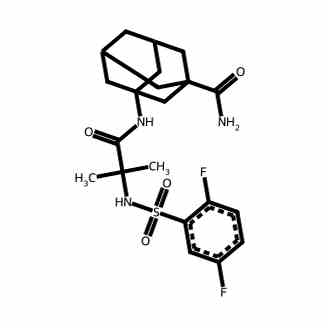 CC(C)(NS(=O)(=O)c1cc(F)ccc1F)C(=O)NC12CC3CC(C1)CC(C(N)=O)(C3)C2